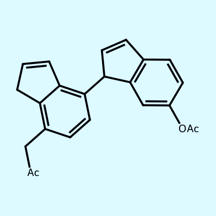 CC(=O)Cc1ccc(C2C=Cc3ccc(OC(C)=O)cc32)c2c1CC=C2